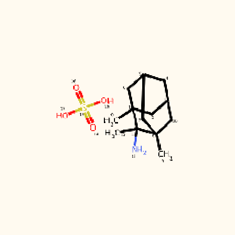 CC12CC3CC(C1)CC(C)(C3)C2(C)N.O=S(=O)(O)O